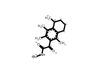 Cc1c(C)c2c(c(C)c1C(=O)C(=O)NC(C)(C)C)CCCC2C